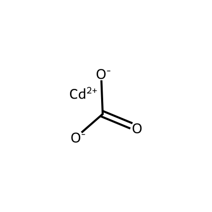 O=C([O-])[O-].[Cd+2]